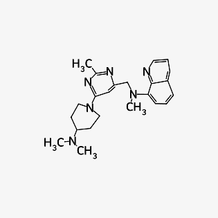 Cc1nc(CN(C)c2cccc3cccnc23)cc(N2CCC(N(C)C)CC2)n1